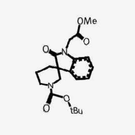 COC(=O)CN1C(=O)C2(CCCN(C(=O)OC(C)(C)C)C2)c2ccccc21